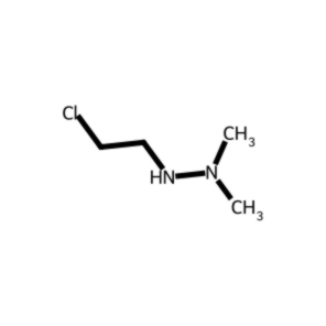 CN(C)NCCCl